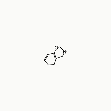 C1=CC2=C(CC1)C[N]CO2